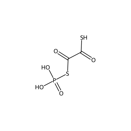 O=C(S)C(=O)SP(=O)(O)O